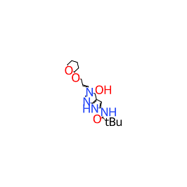 CC(C)(C)C(=O)Nc1cc2c([nH]1)N=CN(C=CCOC1CCCCO1)C2O